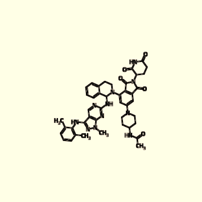 CC(=O)NC1CCN(c2cc3c(c(N4CCc5ccccc5C4Nc4ncc5c(Nc6c(C)cccc6C)nn(C)c5n4)c2)C(=O)N(C2CCC(=O)NC2=O)C3=O)CC1